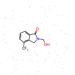 O=C1c2cccc(C(F)(F)F)c2CN1CO